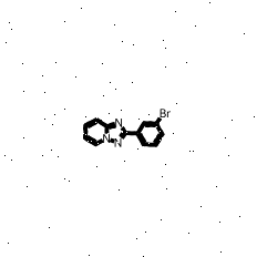 Brc1cccc(-c2nc3ccccn3n2)c1